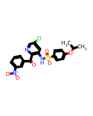 CC(C)Oc1ccc(S(=O)(=O)Nc2cc(Cl)cnc2C(=O)c2cccc([N+](=O)[O-])c2)cc1